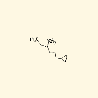 CCC(N)CCCC1CC1